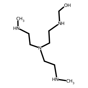 CNCCN(CCNC)CCNCO